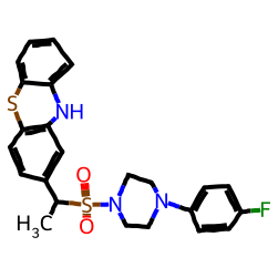 CC(c1ccc2c(c1)Nc1ccccc1S2)S(=O)(=O)N1CCN(c2ccc(F)cc2)CC1